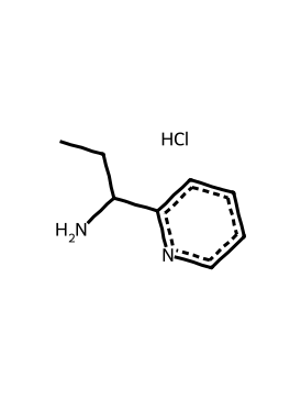 CCC(N)c1ccccn1.Cl